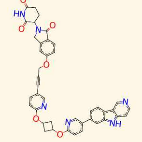 O=C1CCC(N2Cc3cc(OCC#Cc4ccc(OC5CC(Oc6ccc(-c7ccc8c(c7)[nH]c7ccncc78)cn6)C5)nc4)ccc3C2=O)C(=O)N1